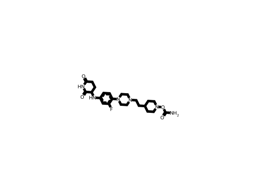 NC(=O)ON1CCC(CCN2CCN(c3ccc(NC4CCC(=O)NC4=O)cc3F)CC2)CC1